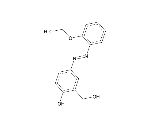 CCOc1ccccc1N=Nc1ccc(O)c(CO)c1